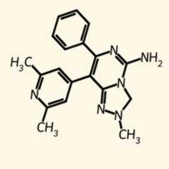 Cc1cc(C2=C(c3ccccc3)N=C(N)N3CN(C)N=C23)cc(C)n1